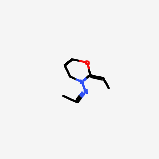 C/C=N\N1CCCO/C1=C/C